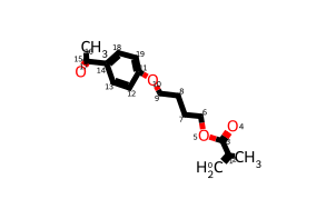 C=C(C)C(=O)OCCCCOc1ccc(C(C)=O)cc1